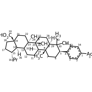 CC(=O)c1ccc([C@H]2CC[C@]3(C)[C@H]4CCC5[C@H]6[C@H](C(C)C)CC[C@]6(C(=O)O)CC[C@@]5(C)[C@]4(C)CC[C@H]3C2(C)C)cc1